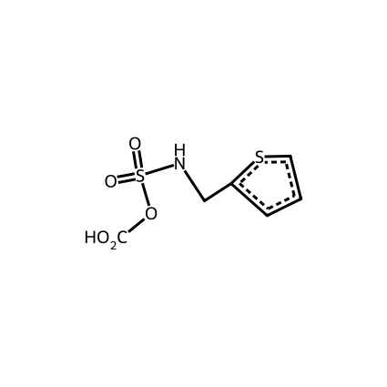 O=C(O)OS(=O)(=O)NCc1cccs1